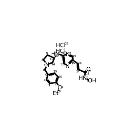 CCOc1ccc(CN2CC[C@@H](Nc3cnc(C=CC(=O)NO)cn3)C2)cc1.Cl.Cl